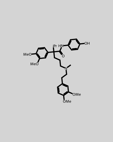 COc1ccc(CCN(C)CCCC(C(=O)Nc2ccc(O)cc2)(c2ccc(OC)c(OC)c2)C(C)C)cc1OC